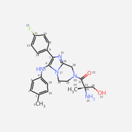 Cc1ccc(Nc2c(-c3ccc(F)cc3)nc3n2CCN(C(=O)[C@@](C)(N)CO)C3)cc1